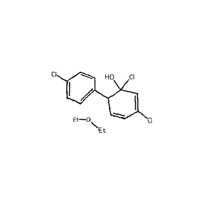 CCOCC.OC1(Cl)C=C(Cl)C=CC1c1ccc(Cl)cc1